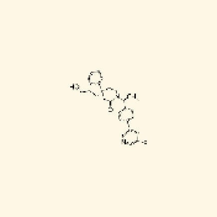 C[C@@H](c1ccc(-c2cncc(F)c2)cc1)N1CC[C@](CCCO)(c2ccccc2)CC1=O